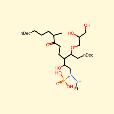 CCCCCCCCCCCCCC(C)C(=O)CCC(C(O)CN(NCC)P(=O)(O)O)C(CCCCCCCCCCC)OCC(O)CO